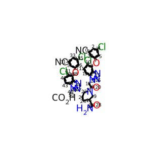 N#Cc1cc(Cl)cc(Oc2c(Cl)ccc3c2nnn3CC(=O)N2CCCC(C(N)=O)C2)c1.N#Cc1cc(Cl)cc(Oc2c(Cl)ccc3c2nnn3CC(=O)O)c1